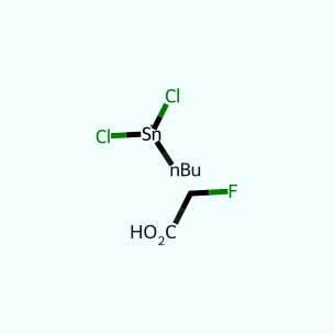 CCC[CH2][Sn]([Cl])[Cl].O=C(O)CF